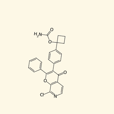 NC(=O)OC1(c2ccc(-c3c(-c4ccccc4)oc4c(Cl)nccc4c3=O)cc2)CCC1